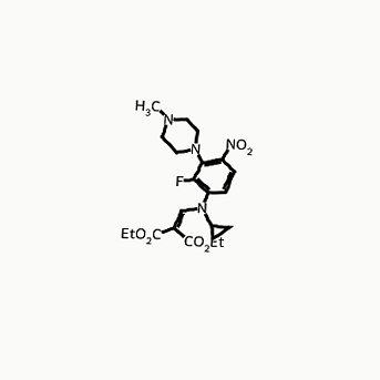 CCOC(=O)C(=CN(c1ccc([N+](=O)[O-])c(N2CCN(C)CC2)c1F)C1CC1)C(=O)OCC